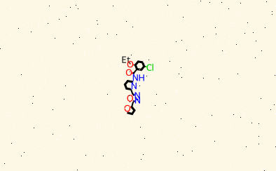 CCOc1ccc(Cl)cc1C(=O)Nc1cccc(-c2nnc(-c3ccco3)o2)n1